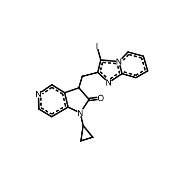 O=C1C(Cc2nc3ccccn3c2I)c2cnccc2N1C1CC1